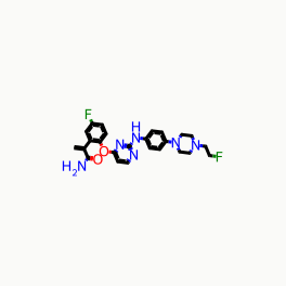 C=C(C(N)=O)c1cc(F)ccc1Oc1ccnc(Nc2ccc(N3CCN(CCF)CC3)cc2)n1